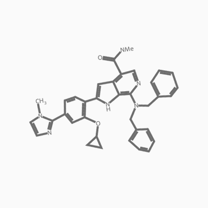 CNC(=O)c1cnc(N(Cc2ccccc2)Cc2ccccc2)c2[nH]c(-c3ccc(-c4nccn4C)cc3OC3CC3)cc12